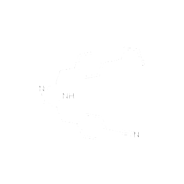 N#Cc1ccc(Cc2cnc(Cc3ccc(-c4ccsc4)cc3)[nH]2)cc1